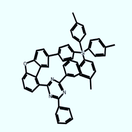 Cc1ccc([Si](c2ccc(C)cc2)(c2ccc(C)cc2)c2ccc(-c3ccc4oc5cccc(-c6nc(-c7ccccc7)nc(-c7ccccc7)n6)c5c4c3)cc2)cc1